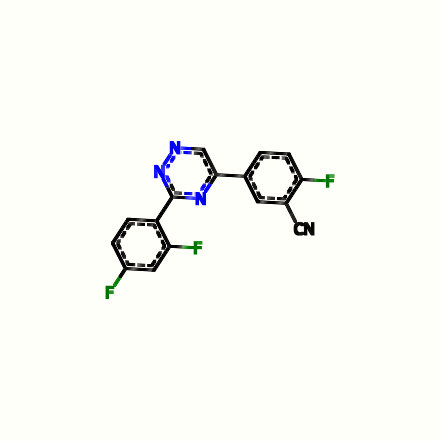 N#Cc1cc(-c2cnnc(-c3ccc(F)cc3F)n2)ccc1F